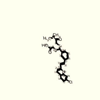 CN(C)C(=O)CSC(SCC(=O)O)c1cccc(C=Cc2ccc3ccc(Cl)cc3n2)c1